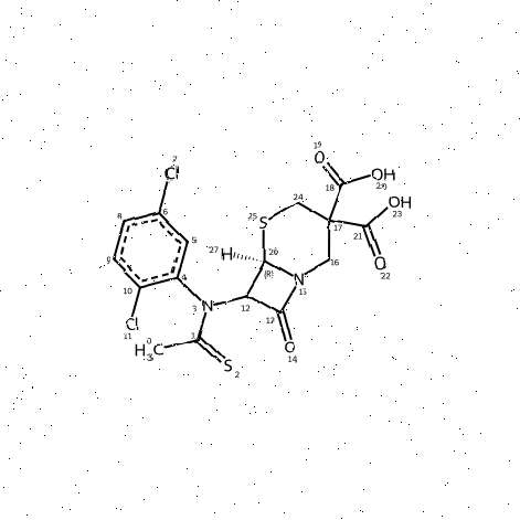 CC(=S)N(c1cc(Cl)ccc1Cl)C1C(=O)N2CC(C(=O)O)(C(=O)O)CS[C@H]12